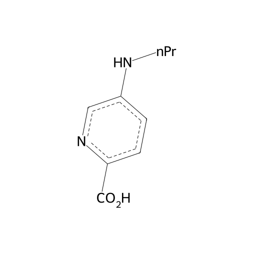 CCCNc1ccc(C(=O)O)nc1